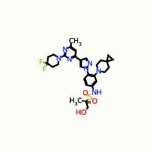 Cc1cc(-c2cnn(-c3ccc(NS(=O)(=O)[C@H](C)CO)cc3N3CCC4(CC3)CC4)c2)nc(N2CCC(F)(F)CC2)n1